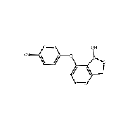 [C-]#[N+]c1ccc(Oc2cccc3c2B(O)OC3)cc1